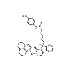 CC1(CCCCCC(=O)Oc2ccc([N+](=O)[O-])cc2)C2=[N+](CCC3Oc4c(cc5c6c4CCCN6CCC5)C=C23)c2ccccc21